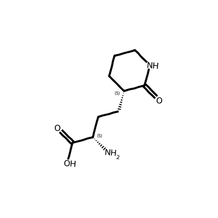 N[C@@H](CC[C@@H]1CCCNC1=O)C(=O)O